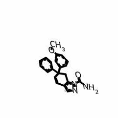 COc1cccc(C2(c3ccccc3)C=Cc3[c]nn(C(N)=O)c3C2)c1